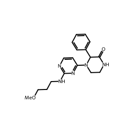 COCCCNc1nccc(N2CCNC(=O)C2c2ccccc2)n1